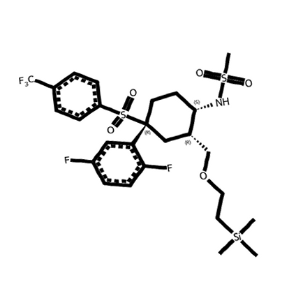 C[Si](C)(C)CCOC[C@@H]1C[C@](c2cc(F)ccc2F)(S(=O)(=O)c2ccc(C(F)(F)F)cc2)CC[C@@H]1NS(C)(=O)=O